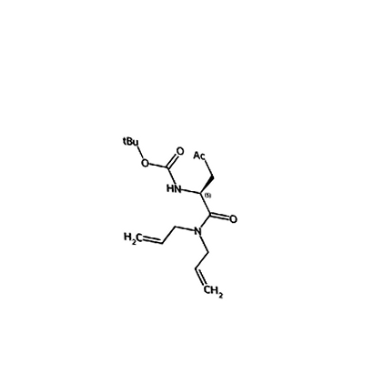 C=CCN(CC=C)C(=O)[C@H](CC(C)=O)NC(=O)OC(C)(C)C